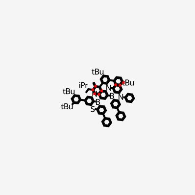 C=CC([C@@H](C)C(C)C)N1c2cc3c(cc2B2c4ccc(-c5ccccc5)cc4Sc4cc(-c5cc(C(C)(C)C)cc(C(C)(C)C)c5)cc1c42)B1c2ccc(-c4ccccc4)cc2N(c2ccccc2)c2cc(C(C)(C)C)cc(c21)N3c1c(-c2ccccc2)cc(C(C)(C)C)cc1-c1ccccc1